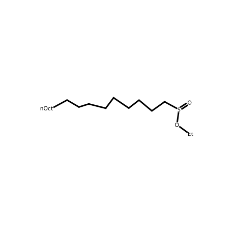 CCCCCCCCCCCCCCCCCS(=O)OCC